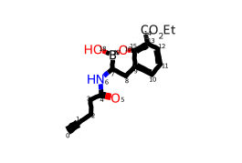 C#CCCC(=O)NC1Cc2cccc(C(=O)OCC)c2OB1O